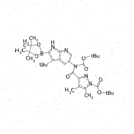 Cc1c(C(=O)N(C(=O)OC(C)(C)C)c2cnc3[nH]c(B4OC(C)(C)C(C)(C)O4)c(C(C)(C)C)c3c2)nn(C(=O)OC(C)(C)C)c1C